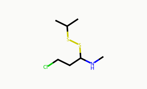 CNC(CCCl)SSC(C)C